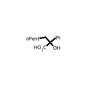 CCCCCCC(O)(C(=O)O)C(C)C